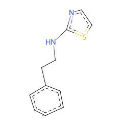 [c]1ccc(CCNc2nccs2)cc1